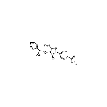 CNC1=C(OSC(O)c2ccccc2)C(=O)C(c2ccc(C(=O)[N+](=O)[O-])cc2)O1